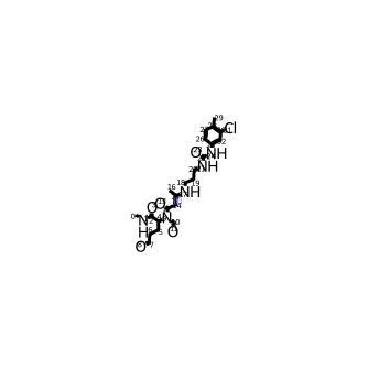 CNC(=O)C(CCC=O)N(C=O)C(=O)/C=C(\C)NCCCNC(=O)Nc1ccc(C)c(Cl)c1